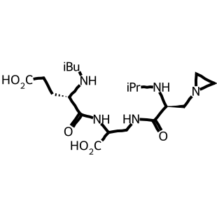 CCC(C)N[C@@H](CCC(=O)O)C(=O)NC(CNC(=O)[C@H](CN1CC1)NC(C)C)C(=O)O